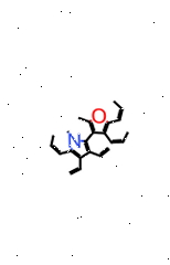 C=Cc1c(C=C)c(-c2c(C)oc(/C=C\C)c2/C=C\C)n(C)c1/C=C\C